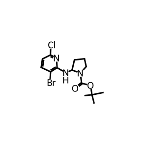 CC(C)(C)OC(=O)N1CCCC1Nc1nc(Cl)ccc1Br